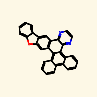 c1ccc2c(c1)oc1cc3c(cc12)c1nccnc1c1c2ccccc2c2ccccc2c31